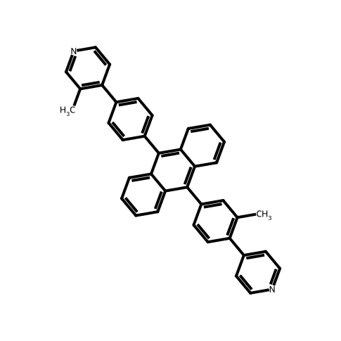 Cc1cnccc1-c1ccc(-c2c3ccccc3c(-c3ccc(-c4ccncc4)c(C)c3)c3ccccc23)cc1